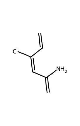 C=C/C(Cl)=C\C(=C)N